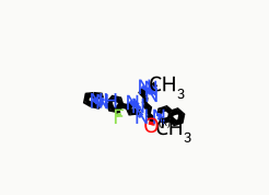 C[C@@H]1c2ccccc2CCN1C(=O)c1cc(-c2cnn(C)n2)n2nc(-c3ccc(N4CC5CCC(C4)N5)cc3F)cc2n1